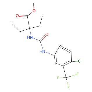 CCC(CC)(NC(=O)Nc1ccc(Cl)c(C(F)(F)F)c1)C(=O)OC